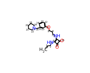 C=CCNc1c(NCCCOc2cccc(CN3CCCCC3)c2)c(=O)c1=O